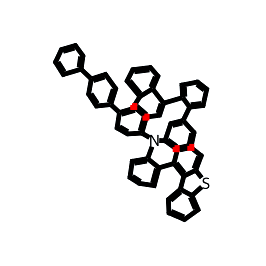 c1ccc(-c2ccc(-c3ccc(N(c4cccc(-c5ccccc5-c5cccc6ccccc56)c4)c4ccccc4-c4cccc5sc6ccccc6c45)cc3)cc2)cc1